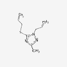 C=CCSc1nc(C)nn1CC=C